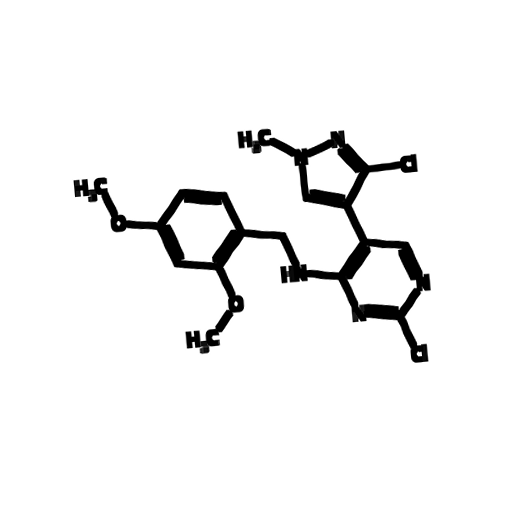 COc1ccc(CNc2nc(Cl)ncc2-c2cn(C)nc2Cl)c(OC)c1